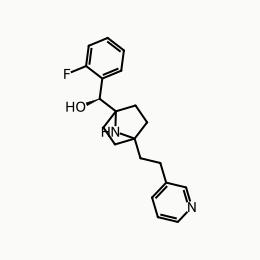 O[C@@H](c1ccccc1F)C12CCC(CCc3cccnc3)(CC1)N2